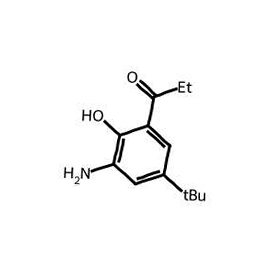 CCC(=O)c1cc(C(C)(C)C)cc(N)c1O